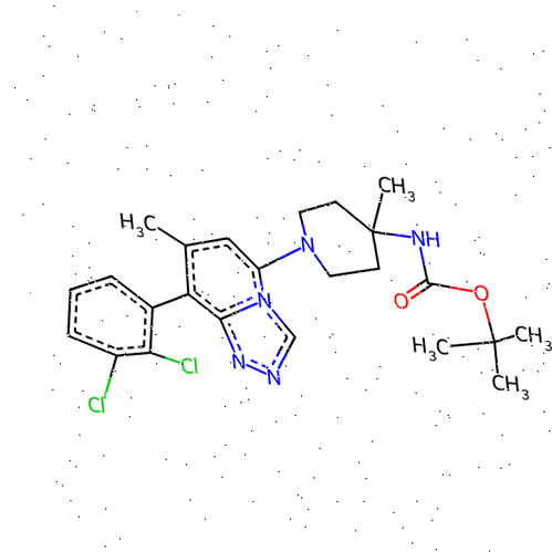 Cc1cc(N2CCC(C)(NC(=O)OC(C)(C)C)CC2)n2cnnc2c1-c1cccc(Cl)c1Cl